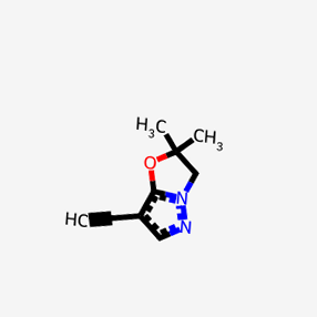 C#Cc1cnn2c1OC(C)(C)C2